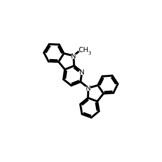 Cn1c2ccccc2c2ccc(-n3c4ccccc4c4ccccc43)nc21